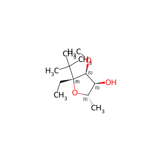 CC[C@]1(C(C)(C)C)O[C@@H](C)[C@H](O)[C@@H]1OC